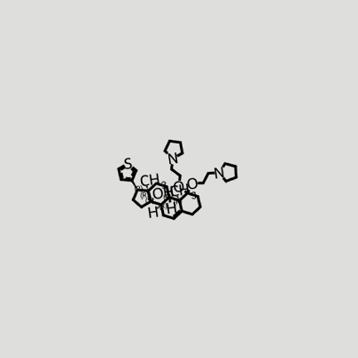 C[C@]12C(=CC[C@@H]3[C@@H]1CC[C@]1(C)[C@H](c4ccsc4)CC[C@]31O)CCCC2(OCCN1CCCC1)OCCN1CCCC1